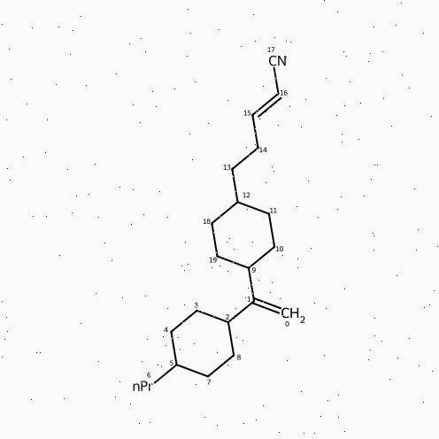 C=C(C1CCC(CCC)CC1)C1CCC(CCC=CC#N)CC1